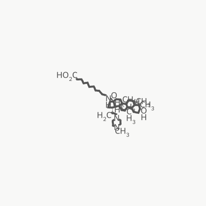 C=C(CN1CCN(C)CC1)[C@@H]1CC[C@]2(C(=O)NCCCCCCCCCCC(=O)O)CC[C@]3(C)[C@H](CCC4[C@@]5(C)CC[C@H](O)C(C)(C)[C@@H]5CC[C@]43C)[C@@H]12